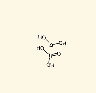 [OH][Zr][OH].[O]=[Ti]([OH])[OH]